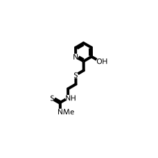 CNC(=S)NCCSCc1ncccc1O